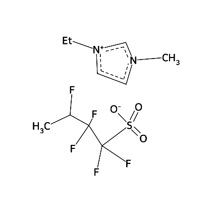 CC(F)C(F)(F)C(F)(F)S(=O)(=O)[O-].CC[n+]1ccn(C)c1